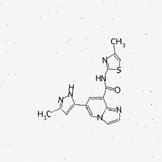 Cc1cc(-c2cc(C(=O)Nc3nc(C)cs3)c3nccn3c2)[nH]n1